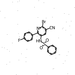 N#Cc1cc(NS(=O)(=O)c2ccccc2)c(-c2ccc(F)cc2)nc1Br